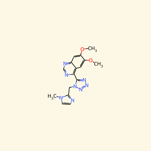 COc1cc2ncnc(-c3nnnn3Cc3nccn3C)c2cc1OC